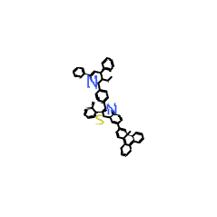 CCC1C(c2ccc(-c3nc4ccc(C5=CC6(C)C(=c7ccccc7=C7C=CC=CC76)C=C5)cc4c4c3C3C(=CC=CC3C)S4)cc2)=NC(c2ccccc2)=CC1c1ccccc1